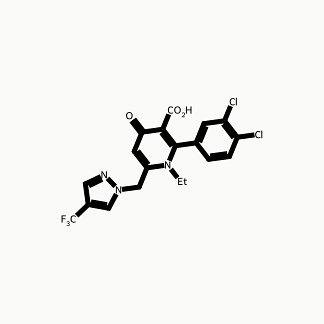 CCn1c(Cn2cc(C(F)(F)F)cn2)cc(=O)c(C(=O)O)c1-c1ccc(Cl)c(Cl)c1